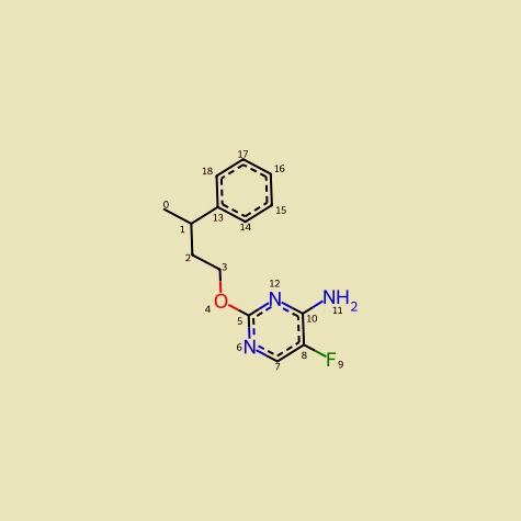 CC(CCOc1ncc(F)c(N)n1)c1ccccc1